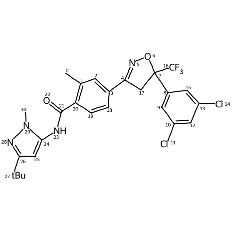 Cc1cc(C2=NOC(c3cc(Cl)cc(Cl)c3)(C(F)(F)F)C2)ccc1C(=O)Nc1cc(C(C)(C)C)nn1C